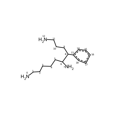 NCCCCCC(N)C(CCCN)c1ccccc1